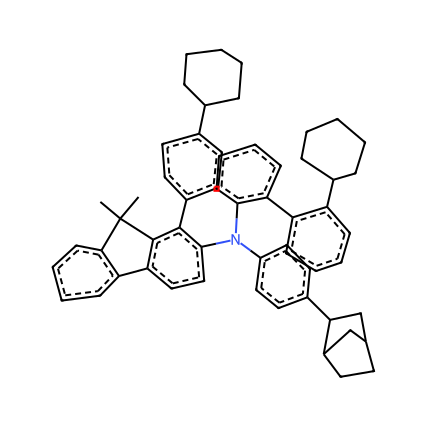 CC1(C)c2ccccc2-c2ccc(N(c3ccc(C4CC5CCC4C5)cc3)c3ccccc3-c3ccccc3C3CCCCC3)c(-c3ccc(C4CCCCC4)cc3)c21